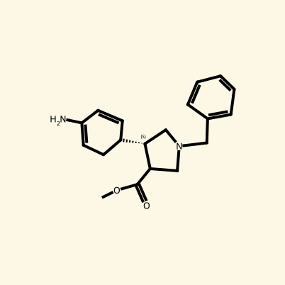 COC(=O)C1CN(Cc2ccccc2)C[C@H]1C1C=CC(N)=CC1